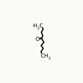 [CH2]CCCC(=O)CCCCC